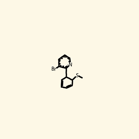 CSC1C=CC=CC1c1ncccc1Br